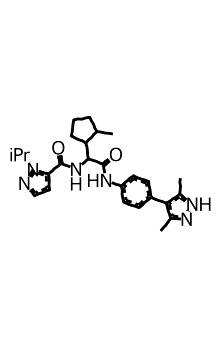 Cc1n[nH]c(C)c1-c1ccc(NC(=O)C(NC(=O)c2ccnn2C(C)C)C2CCCC2C)cc1